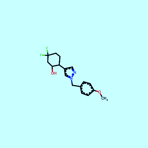 COc1ccc(Cn2cc(C3CCC(F)(F)CC3O)cn2)cc1